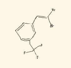 FC(F)(F)c1cccc(C=C(Br)Br)c1